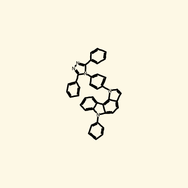 c1ccc(-c2nnc(-c3ccccc3)n2-c2ccc(-n3ccc4ccc5c(c6ccccc6n5-c5ccccc5)c43)cc2)cc1